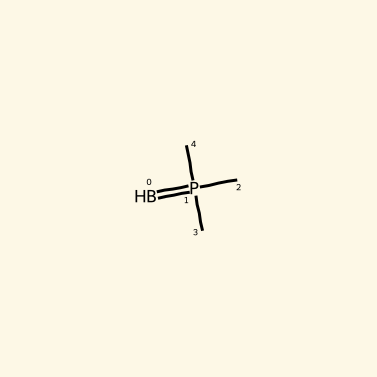 B=P(C)(C)C